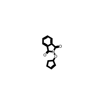 O=C1c2ccccc2C(=O)N1OC1C=CCC1